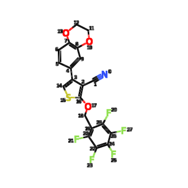 N#Cc1c(-c2ccc3c(c2)OCCO3)csc1OCc1c(F)c(F)c(F)c(F)c1F